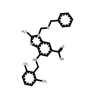 Cc1cccc(C)c1CNc1cc(C(=O)O)cc2c1nc(C)n2COCc1ccccc1